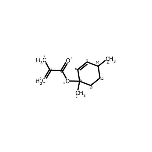 C=C(C)C(=O)OC1(C)C=CC(C)CC1